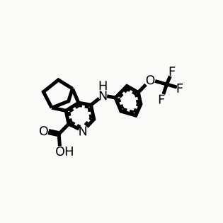 O=C(O)c1ncc(Nc2cccc(OC(F)(F)F)c2)c2c1C1CCC2C1